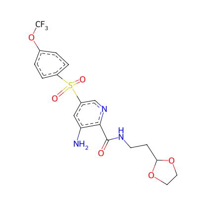 Nc1cc(S(=O)(=O)c2ccc(OC(F)(F)F)cc2)cnc1C(=O)NCCC1OCCO1